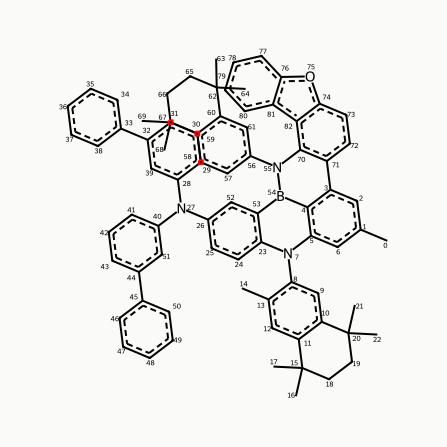 Cc1cc2c3c(c1)N(c1cc4c(cc1C)C(C)(C)CCC4(C)C)c1ccc(N(c4cccc(-c5ccccc5)c4)c4cccc(-c5ccccc5)c4)cc1B3N(c1ccc3c(c1)C(C)(C)CCC3(C)C)c1c-2ccc2oc3ccccc3c12